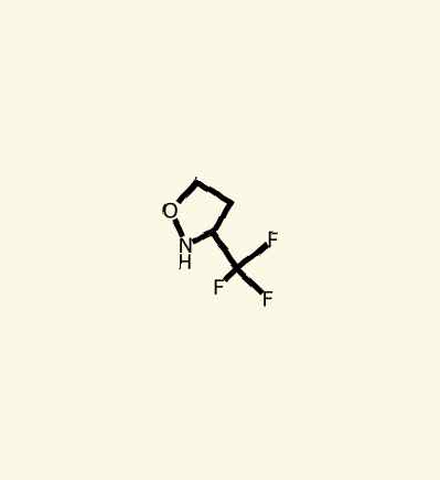 FC(F)(F)C1C[CH]ON1